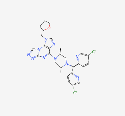 C[C@@H]1CN(c2nc3nncn3c3c2ncn3C[C@@H]2CCCO2)[C@@H](C)CN1C(c1ccc(Cl)cn1)c1ccc(Cl)cn1